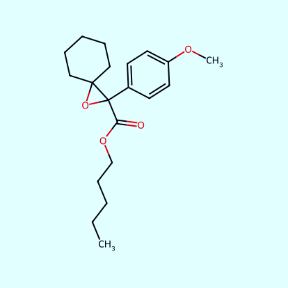 CCCCCOC(=O)C1(c2ccc(OC)cc2)OC12CCCCC2